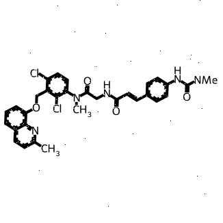 CNC(=O)Nc1ccc(C=CC(=O)NCC(=O)N(C)c2ccc(Cl)c(COc3cccc4ccc(C)nc34)c2Cl)cc1